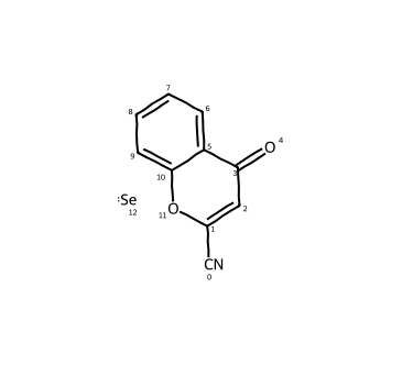 N#Cc1cc(=O)c2ccccc2o1.[Se]